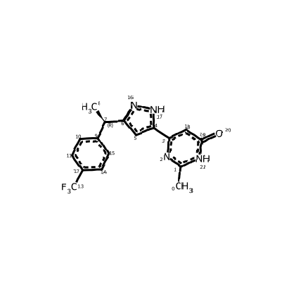 Cc1nc(-c2cc([C@H](C)c3ccc(C(F)(F)F)cc3)n[nH]2)cc(=O)[nH]1